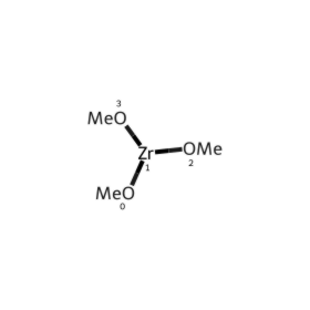 C[O][Zr]([O]C)[O]C